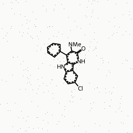 CNc1c(-c2ccccc2)c2[nH]c3ccc(Cl)cc3c2[nH]c1=O